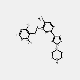 Nc1ccc(-c2cnn(C3CCNCC3)c2)cc1OCc1c(Cl)cccc1Cl